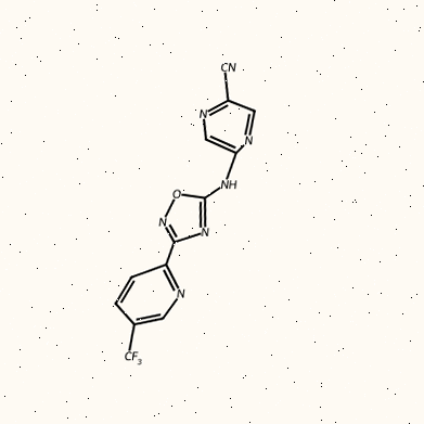 N#Cc1cnc(Nc2nc(-c3ccc(C(F)(F)F)cn3)no2)cn1